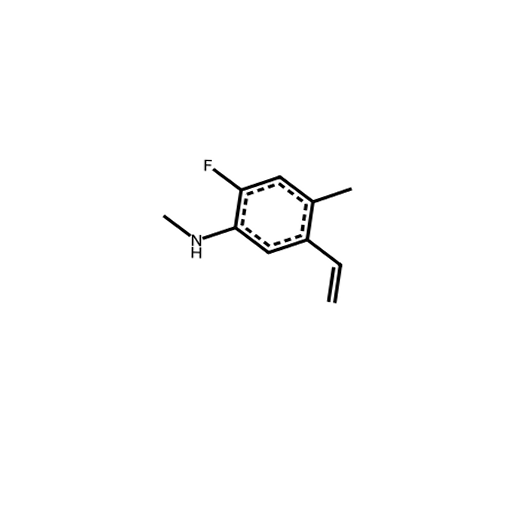 C=Cc1cc(NC)c(F)cc1C